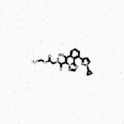 CCOC(=O)CNC(=O)c1c(O)c2cccc(-c3ccn(C4CC4)n3)c2c2ncnn12